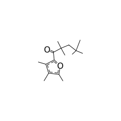 Cc1oc(C(=O)C(C)(C)CC(C)(C)C)c(C)c1C